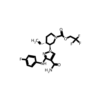 C=C[C@@H]1CCN(C(=O)OCC(F)(F)F)C[C@H]1n1cc(C(N)=O)c(Nc2ccc(F)cc2)n1